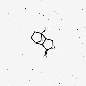 O=C1OCC2C1C1CC[C@H]2C1